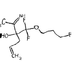 C=CCC(O)(C(C)=N)C(F)(F)OCCCF